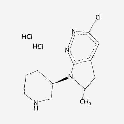 CC1Cc2cc(Cl)nnc2N1[C@@H]1CCCNC1.Cl.Cl